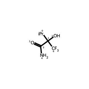 CC(C)C(O)(C(N)=O)C(F)(F)F